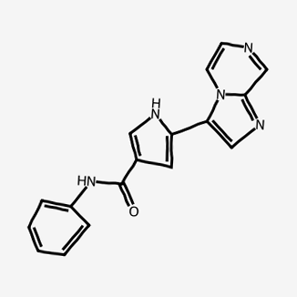 O=C(Nc1ccccc1)c1c[nH]c(-c2cnc3cnccn23)c1